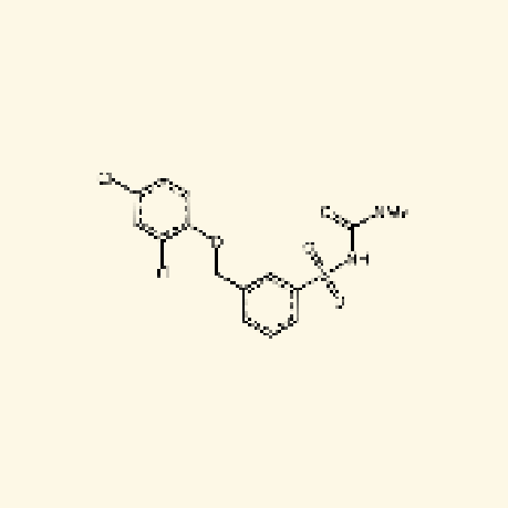 CNC(=O)NS(=O)(=O)c1cccc(COc2ccc(Cl)cc2Cl)c1